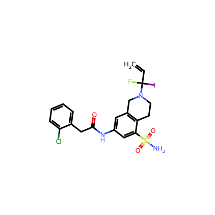 C=CC(F)(I)N1CCc2c(cc(NC(=O)Cc3ccccc3Cl)cc2S(N)(=O)=O)C1